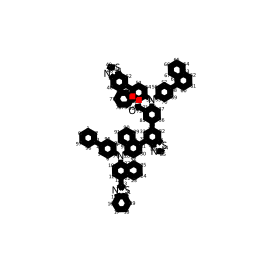 c1ccc(-c2ccc(N(c3ccc(-c4nc5ccccc5s4)c4ccccc34)c3ccc(-c4cc(-c5ccc(N(c6ccc(-c7ccc8ncsc8c7)cc6)c6ccc(-c7cccc8ccccc78)cc6)c(-c6nc7ccccc7o6)c5)cc5scnc45)c4ccccc34)cc2)cc1